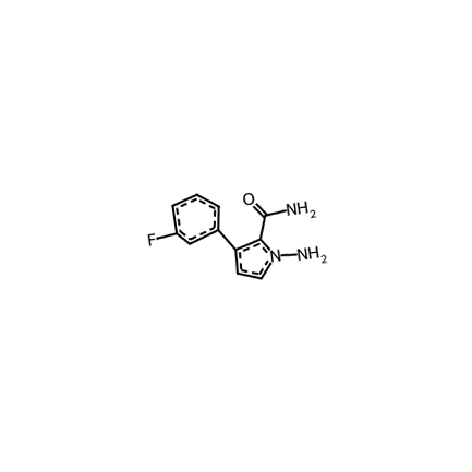 NC(=O)c1c(-c2cccc(F)c2)ccn1N